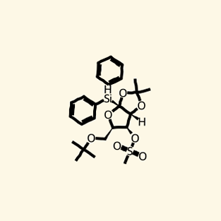 CC(C)(C)OC[C@H]1O[C@]2([SiH](c3ccccc3)c3ccccc3)OC(C)(C)O[C@@H]2[C@H]1OS(C)(=O)=O